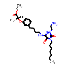 CCCCCCCn1c(=O)c(NCCCCc2cccc(OC(C)(C)C(=O)OCC)c2)nn(CCN)c1=O